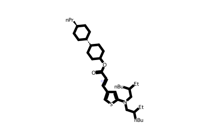 CCCCC(CC)CN(CC(CC)CCCC)c1cc(/C=C/C(=O)OC2CCC([C@H]3CC[C@H](CCC)CC3)CC2)cs1